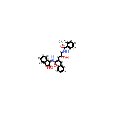 O=C(NC[C@@H](O)C[C@@H](Cc1ccccc1)C(=O)N[C@H]1c2ccccc2C[C@H]1O)c1ccccc1[N+](=O)[O-]